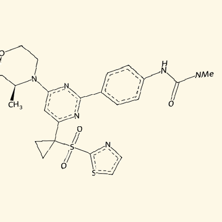 CNC(=O)Nc1ccc(-c2nc(N3CCOC[C@@H]3C)cc(C3(S(=O)(=O)c4nccs4)CC3)n2)cc1